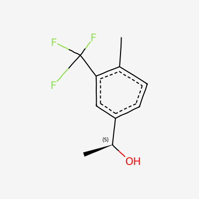 Cc1ccc([C@H](C)O)cc1C(F)(F)F